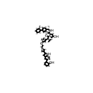 CC(C)[C@H](C(=O)N1C[C@H](O)C[C@H]1C(=O)N[C@@H](C)c1ccc(-c2ccccc2F)cc1)c1cc(OCCN2CC(c3cc4cc(-c5ccccc5O)nnc4[nH]3)C2)no1